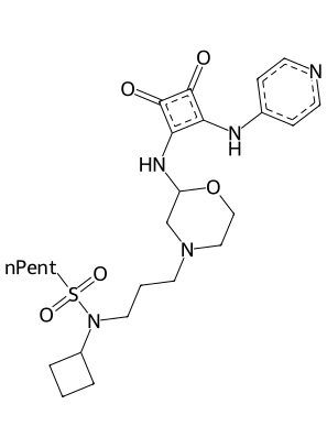 CCCCCS(=O)(=O)N(CCCN1CCOC(Nc2c(Nc3ccncc3)c(=O)c2=O)C1)C1CCC1